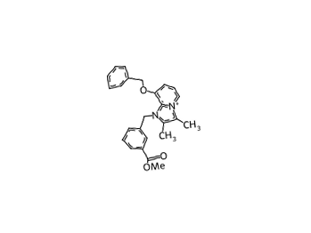 COC(=O)c1cccc(Cn2c(C)c(C)[n+]3cccc(OCc4ccccc4)c23)c1